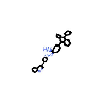 N=C1C=C(c2c3ccccc3c(-c3ccccc3)c3ccccc23)C=C/C1=N/Nc1ccc(-c2cnc3ccccc3c2)cc1